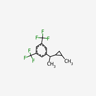 CC1CC1C(C)c1cc(C(F)(F)F)cc(C(F)(F)F)c1